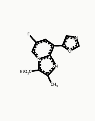 CCOC(=O)c1c(C)nc2c(-c3cnco3)cc(F)cn12